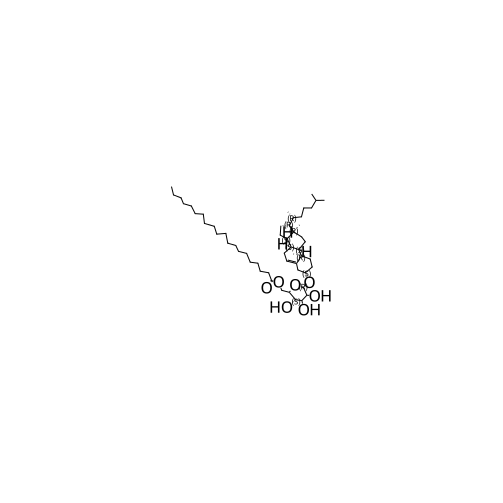 CCCCCCCCCCCCCCCCCCCC(=O)OCC1O[C@@H](O[C@H]2CC[C@@]3(C)C(=CC[C@H]4[C@@H]5CC[C@H]([C@H](C)CCCC(C)C)[C@@]5(C)CC[C@@H]43)C2)C(O)C(O)[C@@H]1O